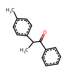 Cc1ccc(C(C)C(=O)c2ccccc2)cc1